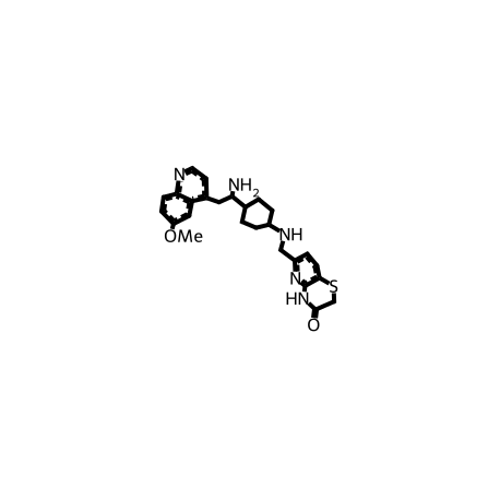 COc1ccc2nccc(CC(N)C3CCC(NCc4ccc5c(n4)NC(=O)CS5)CC3)c2c1